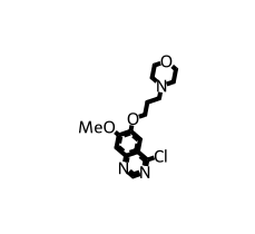 COc1cc2ncnc(Cl)c2cc1OCCCN1CCOCC1